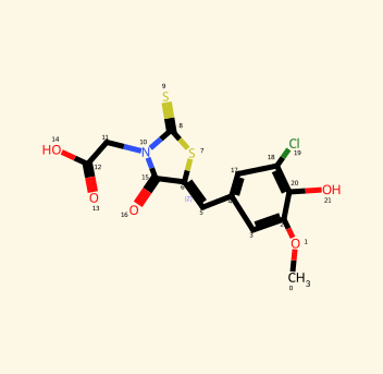 COc1cc(/C=C2\SC(=S)N(CC(=O)O)C2=O)cc(Cl)c1O